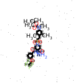 Cc1cc(N(C)C(=O)OC(C)(C)C)cc(C)c1CCS(=O)(=O)N1CCC(NC(=O)c2cccc(OC(F)(F)C(F)F)c2)(C(N)=O)CC1